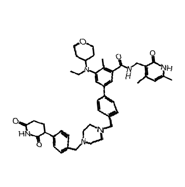 CCN(c1cc(-c2ccc(CN3CCN(Cc4ccc(C5CCC(=O)NC5=O)cc4)CC3)cc2)cc(C(=O)NCc2c(C)cc(C)[nH]c2=O)c1C)C1CCOCC1